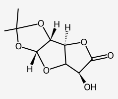 CC1(C)O[C@H]2OC3[C@H](O)C(=O)O[C@@H]3[C@H]2O1